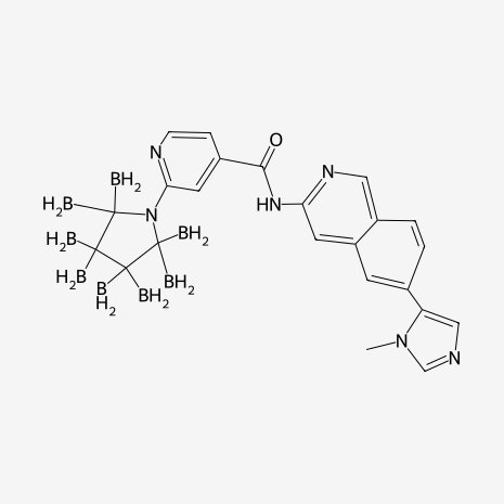 BC1(B)N(c2cc(C(=O)Nc3cc4cc(-c5cncn5C)ccc4cn3)ccn2)C(B)(B)C(B)(B)C1(B)B